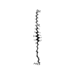 OCCCCCCCCCCCCCCCCCCCCNCCCCCCCO